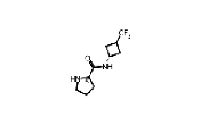 O=C(N[C@H]1C[C@H](C(F)(F)F)C1)[C@H]1CCCN1